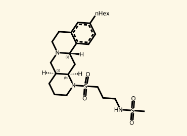 CCCCCCc1ccc2c(c1)CCN1C[C@@H]3CCCN(S(=O)(=O)CCCNS(C)(=O)=O)[C@@H]3C[C@@H]21